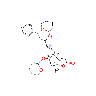 O=C1C[C@@H]2[C@@H](/C=C/C(CCc3ccccc3)OC3CCCCO3)[C@H](OC3CCCCO3)C[C@@H]2O1